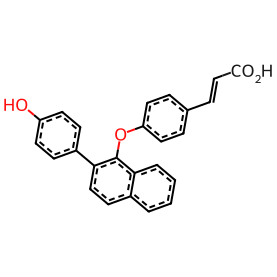 O=C(O)C=Cc1ccc(Oc2c(-c3ccc(O)cc3)ccc3ccccc23)cc1